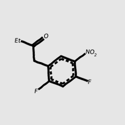 CCC(=O)Cc1cc([N+](=O)[O-])c(F)cc1F